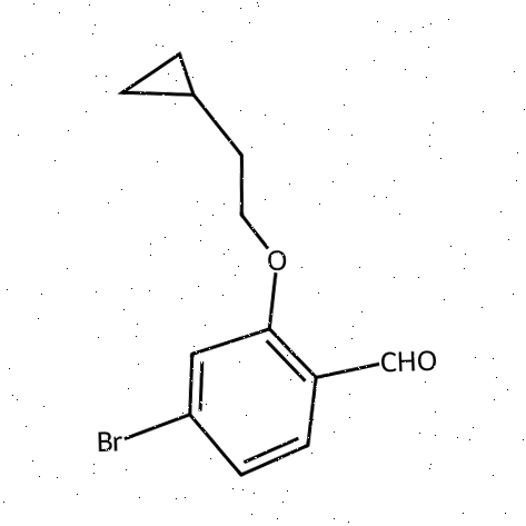 O=Cc1ccc(Br)cc1OCCC1CC1